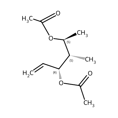 C=C[C@@H](OC(C)=O)[C@@H](C)[C@H](C)OC(C)=O